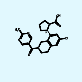 Cc1ncc(C(=O)N2CCc3cc(Cl)cc([C@@H]4CCCN4C(=O)O)c3C2)cn1